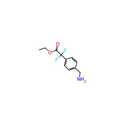 CCOC(=O)C(F)(F)c1ccc(CN)cc1